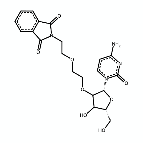 Nc1ccn([C@@H]2O[C@H](CO)C(O)C2OCCOCCN2C(=O)c3ccccc3C2=O)c(=O)n1